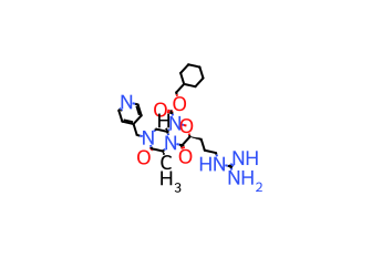 C[C@H]1C(=O)N(Cc2ccncc2)C[C@@H]2N(C(=O)OCC3CCCCC3)O[C@@H](CCCNC(=N)N)C(=O)N21